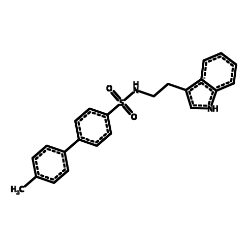 Cc1ccc(-c2ccc(S(=O)(=O)NCCc3c[nH]c4ccccc34)cc2)cc1